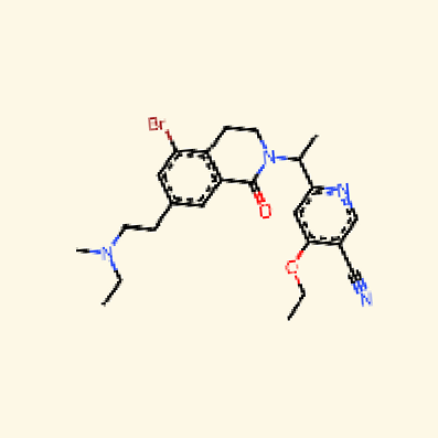 CCOc1cc(C(C)N2CCc3c(Br)cc(CCN(C)CC)cc3C2=O)ncc1C#N